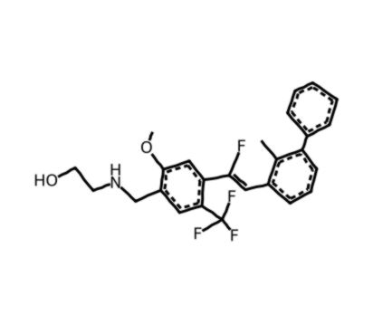 COc1cc(C(F)=Cc2cccc(-c3ccccc3)c2C)c(C(F)(F)F)cc1CNCCO